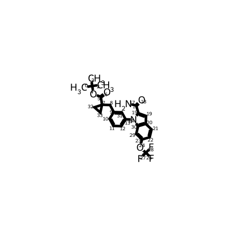 CC(C)(C)OC(=O)C1(Cc2cccc(-n3c(C(N)=O)cc4ccc(OC(F)(F)F)cc43)c2)CC1